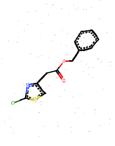 O=C(Cc1csc(Cl)n1)OCc1ccccc1